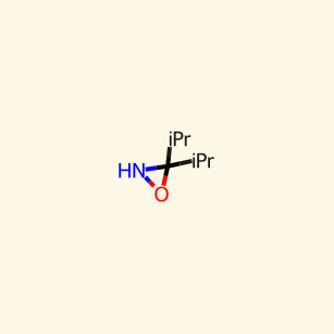 CC(C)C1(C(C)C)NO1